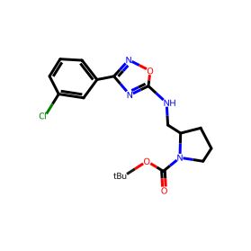 CC(C)(C)OC(=O)N1CCCC1CNc1nc(-c2cccc(Cl)c2)no1